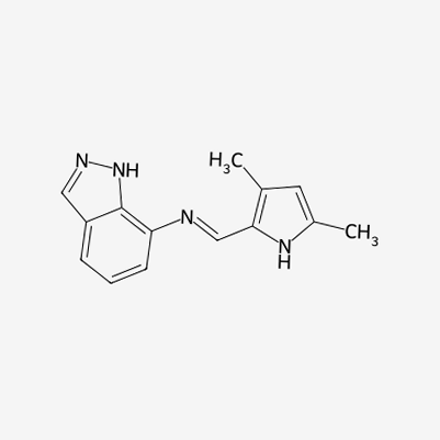 Cc1cc(C)c(/C=N/c2cccc3cn[nH]c23)[nH]1